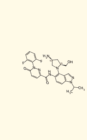 CC(C)n1ncc2c(N3C[C@@H](N)C[C@H]3CO)c(NC(=O)c3ccc(=O)n(-c4c(F)cccc4F)n3)ccc21